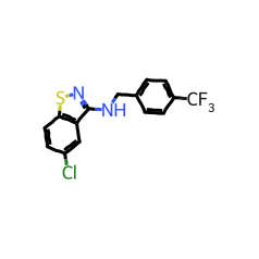 FC(F)(F)c1ccc(CNc2nsc3ccc(Cl)cc23)cc1